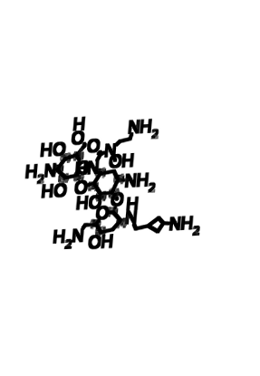 NCCN(O)C(=O)N[C@@H]1C[C@H](N)[C@@H](O[C@H]2O[C@H](CN)[C@@H](O)C[C@H]2NCC2CC(N)C2)[C@H](O)[C@H]1O[C@H]1O[C@H](CO)[C@@H](O)[C@H](N)[C@H]1O